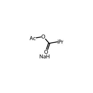 CC(=O)OC(=O)C(C)C.[NaH]